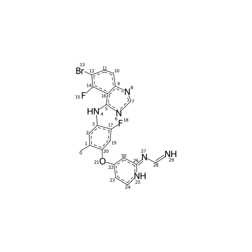 Cc1cc(Nc2ncnc3ccc(Br)c(F)c23)c(F)cc1Oc1cc[nH]/c(=N\C=N)c1